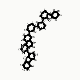 c1cc(-c2cccc(-c3cccc4c3oc3ccccc34)c2)cc(-c2ccc3c(ccc4c(-c5cccc6c5oc5ccccc56)ncnc43)c2)c1